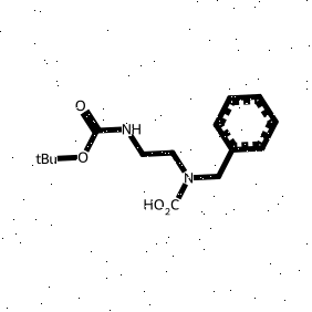 CC(C)(C)OC(=O)NCCN(Cc1ccccc1)C(=O)O